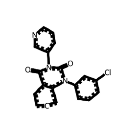 O=c1c2ccccc2n(-c2cccc(Cl)c2)c(=O)n1-c1cccnc1